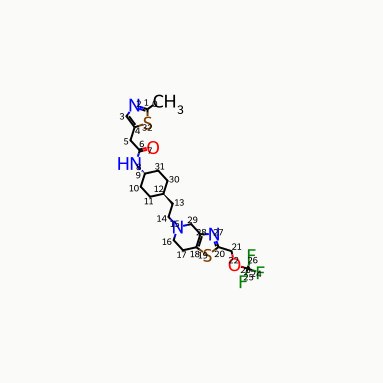 Cc1ncc(CC(=O)N[C@H]2CC[C@H](CCN3CCc4sc(COC(F)(F)F)nc4C3)CC2)s1